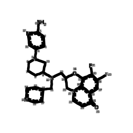 Nc1ccc(N2CCCC(N(Cc3ccncc3)CC3Cn4ccc(=O)c5cc(F)c(F)c(c54)O3)C2)cn1